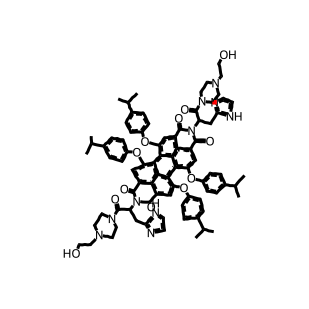 CC(C)c1ccc(Oc2cc3c4c(cc(Oc5ccc(C(C)C)cc5)c5c6c(Oc7ccc(C(C)C)cc7)cc7c8c(cc(Oc9ccc(C(C)C)cc9)c(c2c45)c86)C(=O)N(C(Cc2ncc[nH]2)C(=O)N2CCN(CCO)CC2)C7=O)C(=O)N(C(Cc2ncc[nH]2)C(=O)N2CCN(CCO)CC2)C3=O)cc1